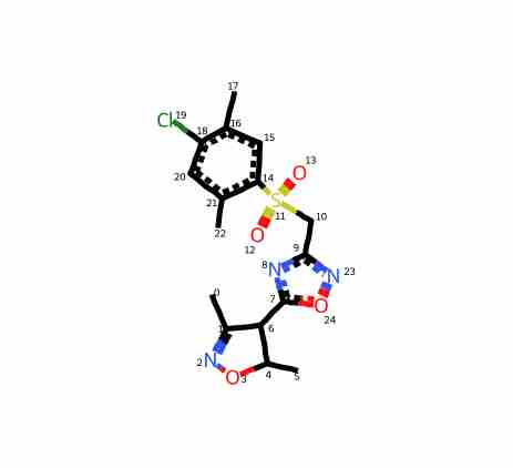 CC1=NOC(C)C1c1nc(CS(=O)(=O)c2cc(C)c(Cl)cc2C)no1